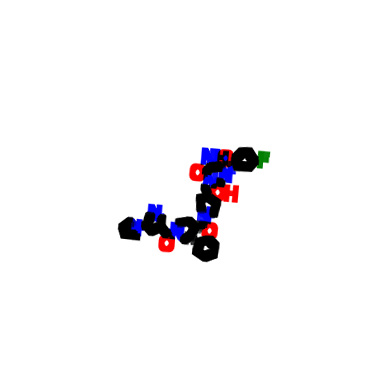 Nc1c(Oc2ccc(F)cc2)ncn(CC2(O)CCN(C(=O)[C@@H]3CCN(C(=O)c4cncc(-n5cccc5)c4)C[C@H]3c3ccccc3)CC2)c1=O